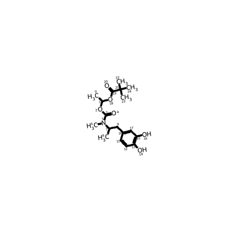 CC(OC(=O)N(C)C(C)Cc1ccc(O)c(O)c1)OC(=O)C(C)(C)C